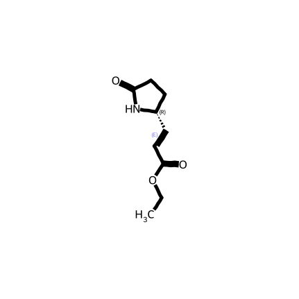 CCOC(=O)/C=C/[C@H]1CCC(=O)N1